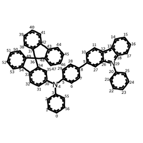 c1ccc(N(c2ccc(-c3ccc4c5ccccc5n(-c5ccccc5)c4c3)cc2)c2ccc3c(c2)C2(c4ccccc4-c4ccccc42)c2ccccc2-3)cc1